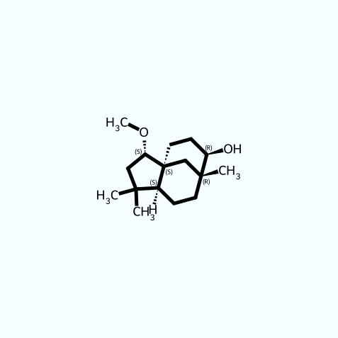 CO[C@H]1CC(C)(C)[C@@H]2CC[C@]3(C)C[C@]12CC[C@H]3O